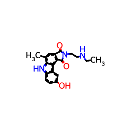 CCNCCN1C(=O)c2cc(C)c3[nH]c4ccc(O)cc4c3c2C1=O